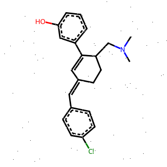 CN(C)CC1CC/C(=C\c2ccc(Cl)cc2)C=C1c1cccc(O)c1